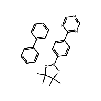 CC1(C)OB(c2ccc(-c3ncncn3)cc2)OC1(C)C.c1ccc(-c2ccccc2)cc1